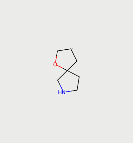 [CH]1COC2(C1)CCNC2